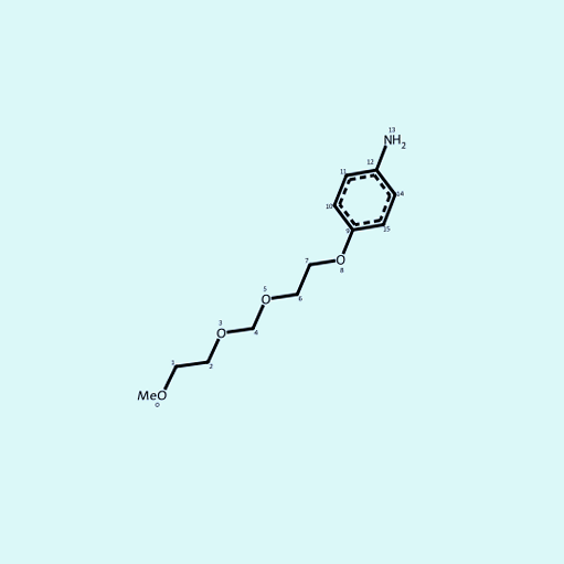 COCCOCOCCOc1ccc(N)cc1